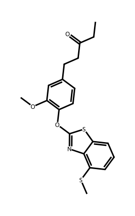 CCC(=O)CCc1ccc(Oc2nc3c(SC)cccc3s2)c(OC)c1